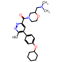 CCCCc1nnc(C(=O)N2CCOC(CN(C)C)C2)cc1-c1ccc(OC2CCCCC2)cc1